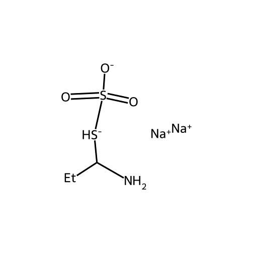 CCC(N)[SH-]S(=O)(=O)[O-].[Na+].[Na+]